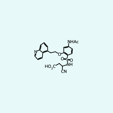 CC(=O)Nc1ccc(S(=O)(=O)NC(C#N)CC(=O)O)c(OCCc2cccc3ncccc23)c1